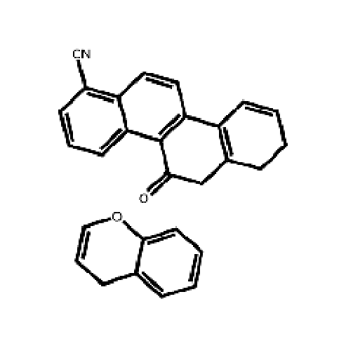 C1=COc2ccccc2C1.N#Cc1cccc2c3c(ccc12)C1=C(CCC=C1)CC3=O